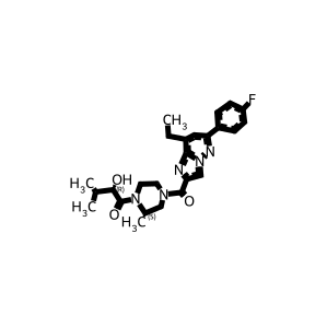 CCc1cc(-c2ccc(F)cc2)nn2cc(C(=O)N3CCN(C(=O)[C@H](O)C(C)C)[C@@H](C)C3)nc12